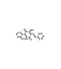 O=C1C(O)=C(c2ccccc2Cl)C(=O)C(O)=C1C=Cc1ccccc1